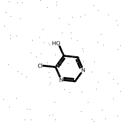 Oc1[c]ncnc1Cl